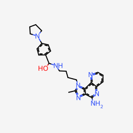 Cc1nc2c(N)nc3cccnc3c2n1CCCCNC(O)c1ccc(N2CCCC2)cc1